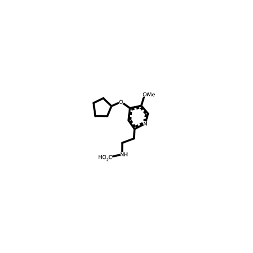 COc1cnc(CCNC(=O)O)cc1OC1CCCC1